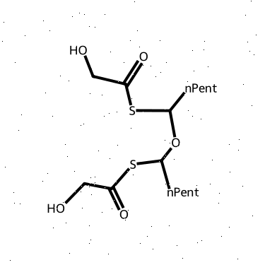 CCCCCC(OC(CCCCC)SC(=O)CO)SC(=O)CO